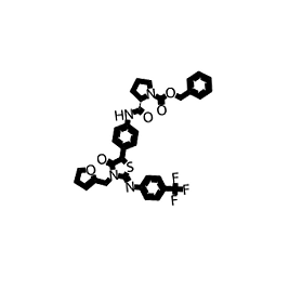 O=C(Nc1ccc(C2S/C(=N\c3ccc(C(F)(F)F)cc3)N(CC3=CCCO3)C2=O)cc1)[C@@H]1CCCN1C(=O)OCc1ccccc1